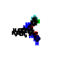 CC(C)(C)c1ccc(C(NC(=O)Nc2ccc(Cl)c(C(F)(F)F)c2)c2ccc(C(=O)Nc3nn[nH]n3)cc2)cc1